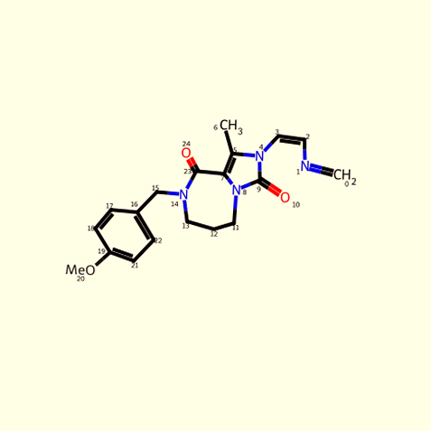 C=N/C=C\n1c(C)c2n(c1=O)CCCN(Cc1ccc(OC)cc1)C2=O